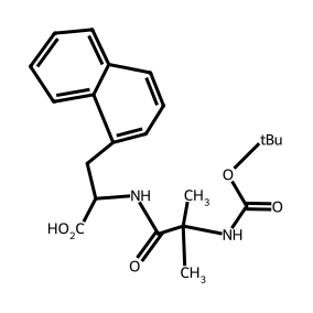 CC(C)(C)OC(=O)NC(C)(C)C(=O)NC(Cc1cccc2ccccc12)C(=O)O